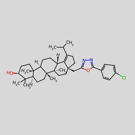 CC(C)C1=C2[C@H]3CC[C@@H]4[C@@]5(C)CC[C@H](O)C(C)(C)[C@@H]5CC[C@@]4(C)[C@]3(C)CC[C@@]2(Cc2nnc(-c3ccc(Cl)cc3)o2)CC1